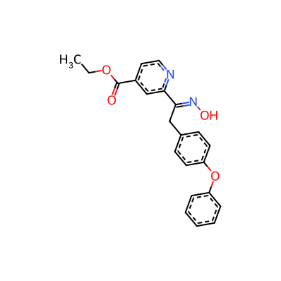 CCOC(=O)c1ccnc(/C(Cc2ccc(Oc3ccccc3)cc2)=N/O)c1